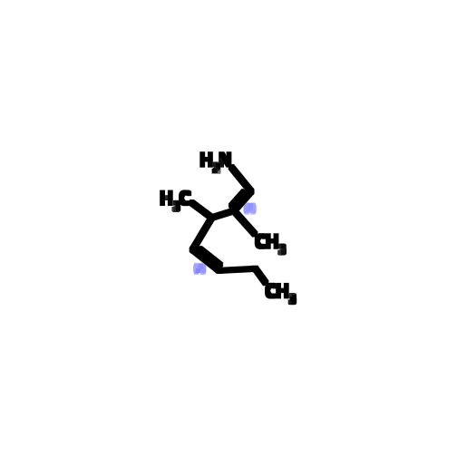 CC/C=C\C(C)/C(C)=C\N